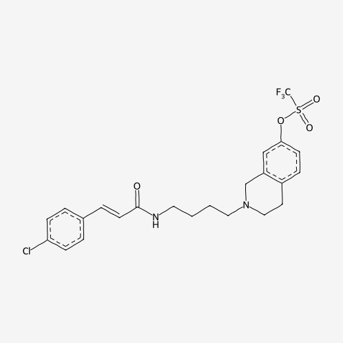 O=C(C=Cc1ccc(Cl)cc1)NCCCCN1CCc2ccc(OS(=O)(=O)C(F)(F)F)cc2C1